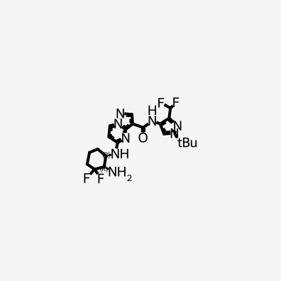 CC(C)(C)n1cc(NC(=O)c2cnn3ccc(N[C@@H]4CCCC(F)(F)[C@@H]4N)nc23)c(C(F)F)n1